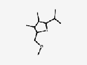 COCC1SC(C(C)C)C(C)C1C